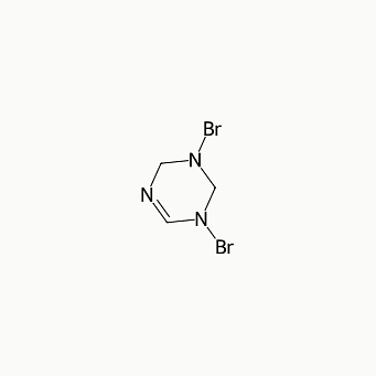 BrN1C=NCN(Br)C1